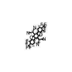 N#CC(C#N)=c1c2oc3c(F)c(C(F)(F)F)ccc3c2c(=C(C#N)C#N)c2oc3c(F)c(C(F)(F)F)ccc3c12